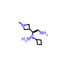 CN1CC(/C(=C/N)N(N)C2CCC2)C1